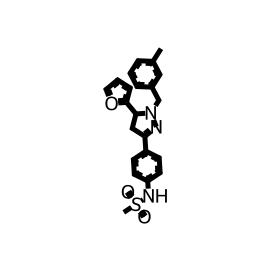 Cc1cccc(CN2N=C(c3ccc(NS(C)(=O)=O)cc3)CC2c2ccco2)c1